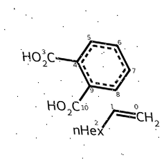 C=CCCCCCC.O=C(O)c1ccccc1C(=O)O